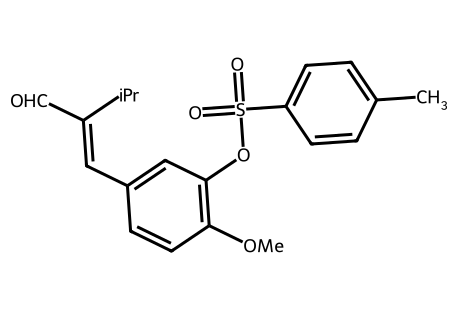 COc1ccc(C=C(C=O)C(C)C)cc1OS(=O)(=O)c1ccc(C)cc1